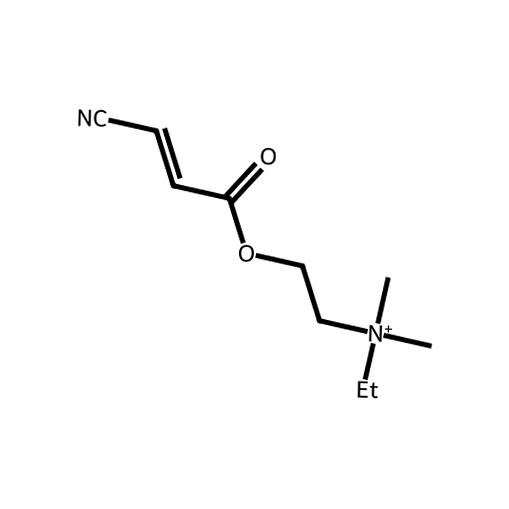 CC[N+](C)(C)CCOC(=O)C=CC#N